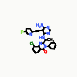 CC(Nc1ncnc(N)c1C#Cc1ccc(F)cn1)c1nc2c(Cl)cccc2c(=O)n1-c1ccccc1